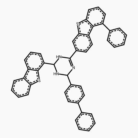 c1ccc(-c2ccc(C3N=C(c4ccc5c(c4)sc4cccc(-c6ccccc6)c45)NC(c4cccc5c4sc4ccccc45)N3)cc2)cc1